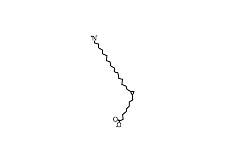 COC(=O)CCCCCCCC1CC1CCCCCCCCCCCCCCCCCN(C)C